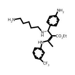 CCOC(=O)/C(=C(\C)Nc1cccc(C(F)(F)F)c1)[C@H](NCCCCCN)c1ccc(N)cc1